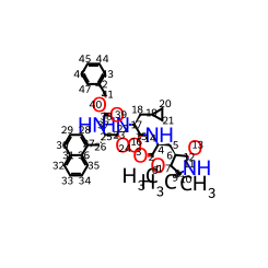 COC(=O)[C@H](C[C@@H]1CC(C)(C)NC1=O)NC(=O)[C@H](CC1CC1)NC(=O)[C@H](Cc1cccc2ccccc12)NC(=O)OCc1ccccc1